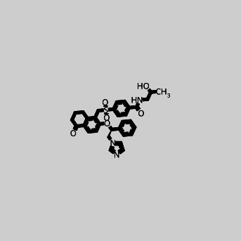 CC(O)CNC(=O)c1ccc(S(=O)(=O)Cc2c(O[C@H](Cn3ccnc3)c3ccccc3)ccc3c2CCCC3=O)cc1